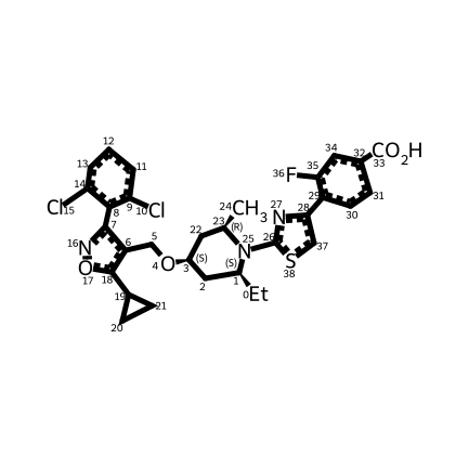 CC[C@H]1C[C@@H](OCc2c(-c3c(Cl)cccc3Cl)noc2C2CC2)C[C@@H](C)N1c1nc(-c2ccc(C(=O)O)cc2F)cs1